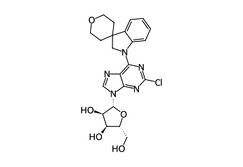 OC[C@H]1O[C@@H](n2cnc3c(N4CC5(CCOCC5)c5ccccc54)nc(Cl)nc32)[C@H](O)[C@@H]1O